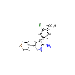 Nc1ncc(C2=CCSCC2)cc1-c1ccc(C(=O)O)c(F)c1